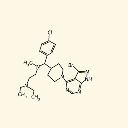 CCN(CC)CCN(C)C(c1ccc(Cl)cc1)C1CCN(c2ncnc3[nH]nc(Br)c23)CC1